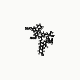 COc1ccc(C(OC[C@@H]2C[C@@H](OP(OCCC#N)N(C(C)C)C(C)C)CN2C(=O)CCc2cc3nc4ccc(=O)cc-4oc3cc2CC(C)(C)C(=O)O)(c2ccccc2)c2ccc(OC)cc2)cc1